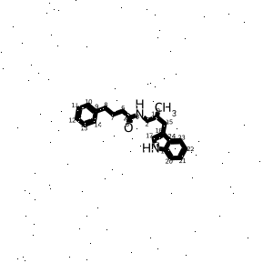 CC(CNC(=O)CCCc1ccccc1)Cc1c[nH]c2ccccc12